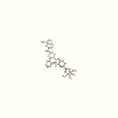 CC(C)(C)OC(=O)N[C@H]1CCCN(c2ccncc2NCc2nc(B3OC(C)(C)C(C)(C)O3)ccc2N)C1